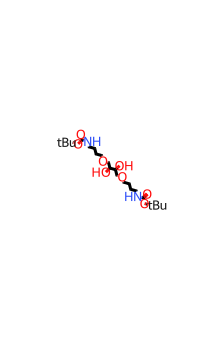 CC(C)(C)OC(=O)NCCCCOCC(O)C(O)COCCCCNC(=O)OC(C)(C)C